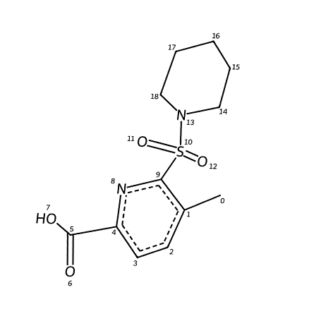 Cc1ccc(C(=O)O)nc1S(=O)(=O)N1CCCCC1